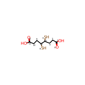 O=C(O)CCC(S)C(S)CCC(=O)O